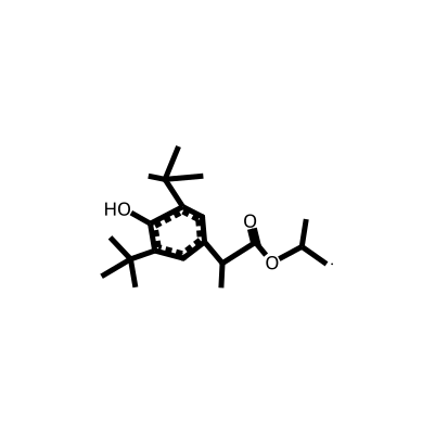 [CH2]C(C)OC(=O)C(C)c1cc(C(C)(C)C)c(O)c(C(C)(C)C)c1